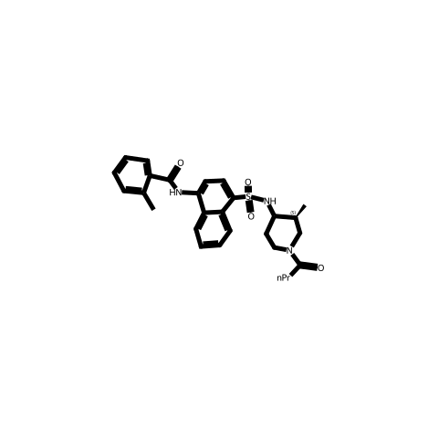 CCCC(=O)N1CCC(NS(=O)(=O)c2ccc(NC(=O)c3ccccc3C)c3ccccc23)[C@@H](C)C1